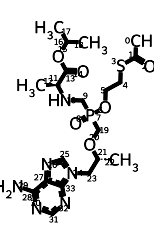 CC(=O)SCCOP(=O)(CN[C@@H](C)C(=O)OC(C)C)CO[C@H](C)Cn1cnc2c(N)ncnc21